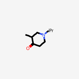 CC1CN(C(C)C)CCC1=O